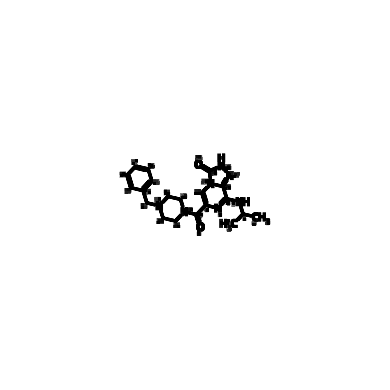 CC(C)Nc1nc(C(=O)N2CCN(Cc3ccccc3)CC2)cn2c(=O)[nH]nc12